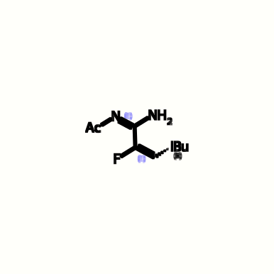 CC[C@@H](C)/C=C(F)\C(N)=N/C(C)=O